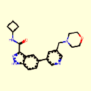 O=C(NC1CCC1)c1n[nH]c2ccc(-c3cncc(CN4CCOCC4)c3)cc12